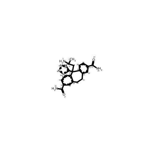 CC(C)(N)CC1(c2nnn[nH]2)c2ccc(C(N)=O)cc2CCc2cc(C(N)=O)ccc21